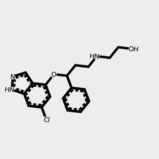 OCCNCCC(Oc1cc(Cl)cc2[nH]ncc12)c1ccccc1